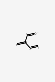 [CH]=C([C]=O)C=C